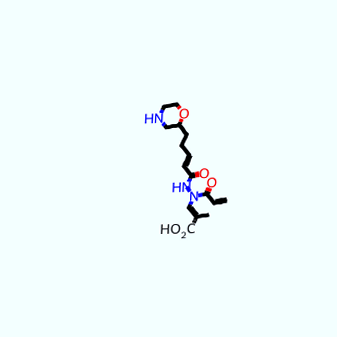 C=CC(=O)N(C=C(C)C(=O)O)NC(=O)C=CCCC1CNCCO1